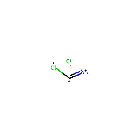 [Cl-].[N+]=CCl